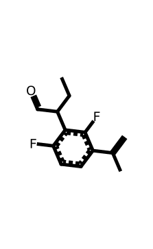 C=C(C)c1ccc(F)c(C(C=O)CC)c1F